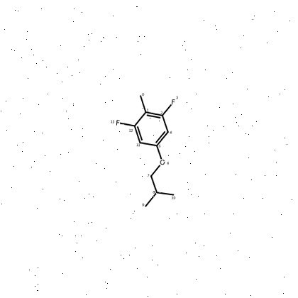 Cc1c(F)cc(OCC(C)C)cc1F